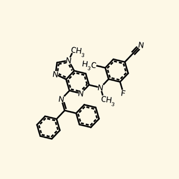 Cc1cc(C#N)cc(F)c1N(C)c1cc2c(ncn2C)c(N=C(c2ccccc2)c2ccccc2)n1